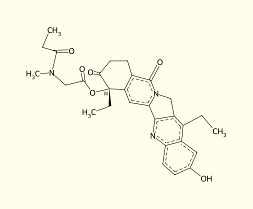 CCC(=O)N(C)CC(=O)O[C@]1(CC)C(=O)CCc2c1cc1n(c2=O)Cc2c-1nc1ccc(O)cc1c2CC